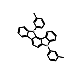 Cc1cccc(B2c3ccccc3-c3c2ccc2c3B(c3cccc(C)c3)c3ccccc3-2)c1